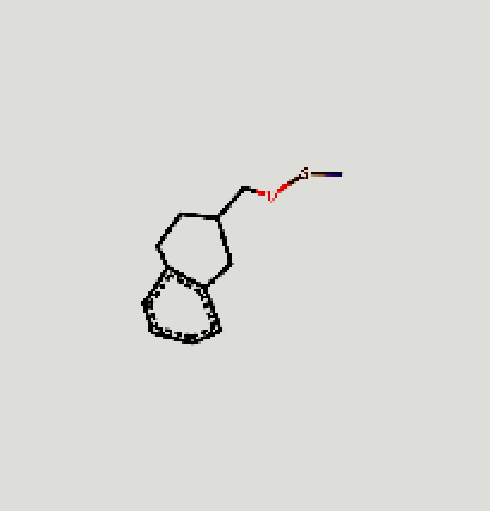 ISOCC1CCc2ccccc2C1